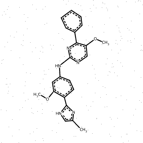 COc1cc(Nc2ncc(OC)c(-c3ccccc3)n2)ccc1-c1nc(C)c[nH]1